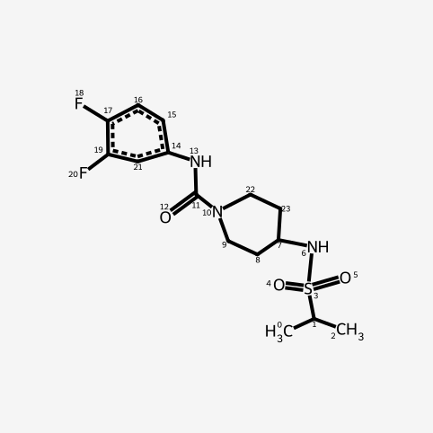 CC(C)S(=O)(=O)NC1CCN(C(=O)Nc2ccc(F)c(F)c2)CC1